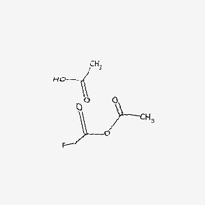 CC(=O)O.CC(=O)OC(=O)CF